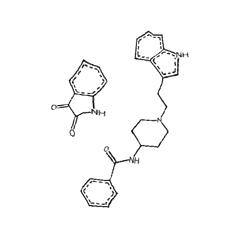 O=C(NC1CCN(CCc2c[nH]c3ccccc23)CC1)c1ccccc1.O=C1Nc2ccccc2C1=O